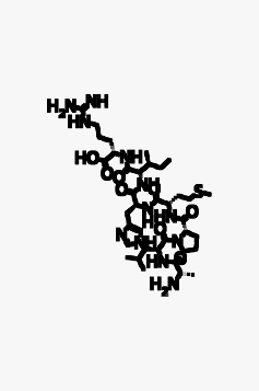 CC[C@H](C)[C@H](NC(=O)[C@H](Cc1c[nH]cn1)NC(=O)[C@H](CCSC)NC(=O)[C@@H]1CCCN1C(=O)[C@H](CC(C)C)NC(=O)[C@H](C)N)C(=O)N[C@@H](CCCNC(=N)N)C(=O)O